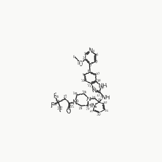 COc1cnccc1-c1ccc2nc(NC3(CN4CCN(C(=O)CC(F)(F)F)CC4)C=CC=CN3)[nH]c2c1